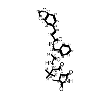 C[C@@H]1C(=O)NC(=O)[C@H]1C(=O)[C@@H](NC(=O)C[C@H](NC(=O)C=Cc1ccc2c(c1)OCO2)c1ccccc1)C(C)(C)C